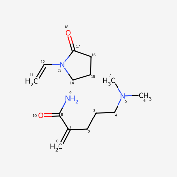 C=C(CCCN(C)C)C(N)=O.C=CN1CCCC1=O